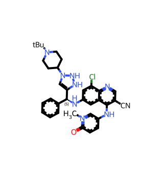 Cn1cc(Nc2c(C#N)cnc3c(Cl)cc(N[C@H](C4=CN(C5CCN(C(C)(C)C)CC5)NN4)c4ccccc4)cc23)ccc1=O